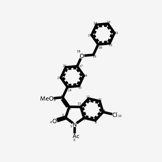 COC(=C1C(=O)N(C(C)=O)c2cc(Cl)ccc21)c1ccc(OCc2ccccc2)cc1